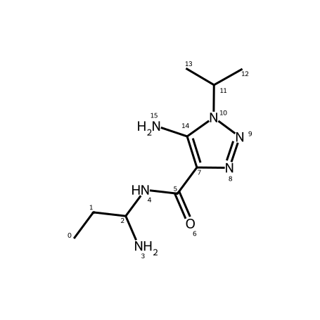 CCC(N)NC(=O)c1nnn(C(C)C)c1N